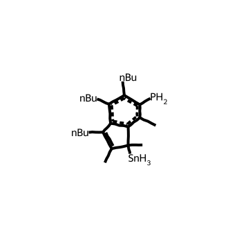 CCCCC1=C(C)[C](C)([SnH3])c2c(C)c(P)c(CCCC)c(CCCC)c21